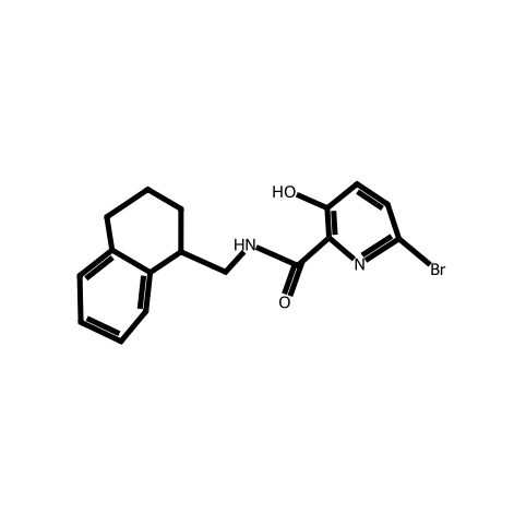 O=C(NCC1CCCc2ccccc21)c1nc(Br)ccc1O